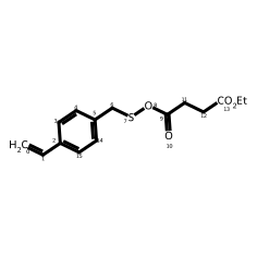 C=Cc1ccc(CSOC(=O)CCC(=O)OCC)cc1